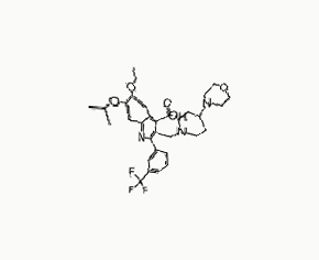 CCOc1cc2c(C(=O)O)c(CN3CCC(N4CCOCC4)CC3)c(-c3cccc(C(F)(F)F)c3)nc2cc1OC(C)C